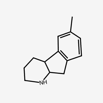 Cc1ccc2c(c1)C1CCCNC1C2